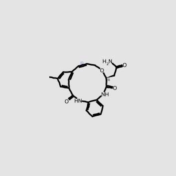 Cc1cc2cc(c1)C(=O)Nc1ccccc1NC(=O)[C@H](CC(N)=O)OC/C=C\2